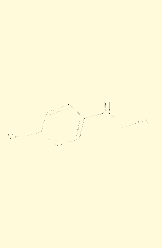 COc1ccc(NCOC(C)=O)cc1